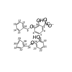 O=[N+]([O-])c1cccc(OCc2ccccc2)c1O.Oc1ccccc1OCc1ccccc1